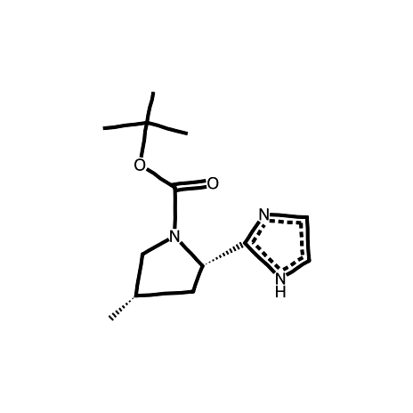 C[C@H]1C[C@@H](c2ncc[nH]2)N(C(=O)OC(C)(C)C)C1